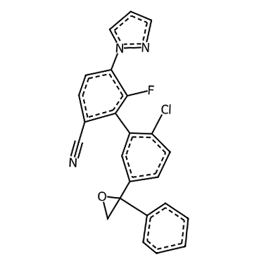 N#Cc1ccc(-n2cccn2)c(F)c1-c1cc(C2(c3ccccc3)CO2)ccc1Cl